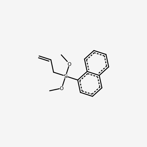 C=CC[Si](OC)(OC)c1cccc2ccccc12